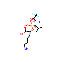 CC(C)[C@@H](NC(=O)C(F)(F)F)P(=O)(O)OC(CCCCN)C(=O)O